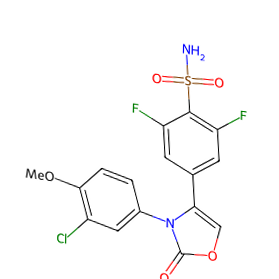 COc1ccc(-n2c(-c3cc(F)c(S(N)(=O)=O)c(F)c3)coc2=O)cc1Cl